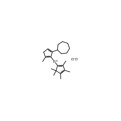 CC1=[C]([Zr+2][C]2=C(C)C(C)=C(C)C2(C)C)C(C2CCCCCC2)=CC1.[Cl-].[Cl-]